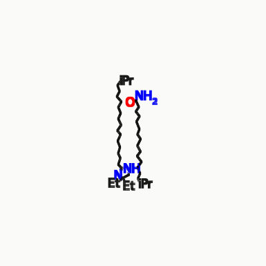 CC(C)CCCCCCCCCCCCCCC(N)=O.CCC1(CC)CNC(CCCCCCCCCCCCCCCC(C)C)=N1